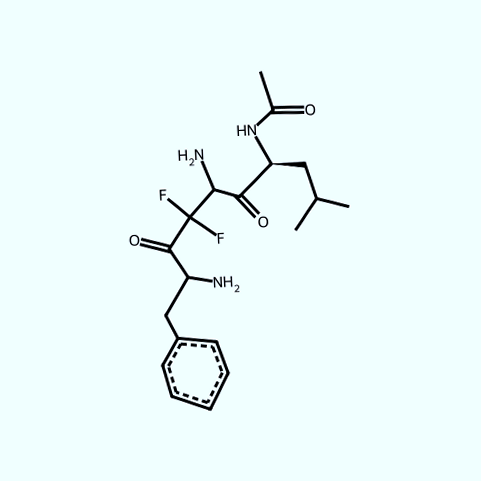 CC(=O)N[C@@H](CC(C)C)C(=O)C(N)C(F)(F)C(=O)C(N)Cc1ccccc1